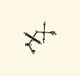 CC(C)NS(=O)(=O)CC(C)(F)F